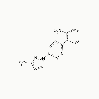 O=[N+]([O-])c1ccccc1-c1ccc(-n2ccc(C(F)(F)F)n2)nn1